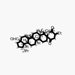 CCC1CC(=O)C2(CC[C@]3(C)[C@H]4CC[C@@H]5[C@H]6[C@H](C(C)C)CC[C@]6(C=O)CC[C@@]5(C)[C@]4(C)CC[C@H]3C2(C)C)OC1=O